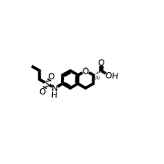 CCCS(=O)(=O)Nc1ccc2c(c1)CC[C@@H](C(=O)O)O2